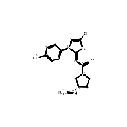 Cc1cn(-c2ccc(C(F)(F)F)cc2)c(=NC(=O)N2CC[C@H](NC(=O)O)C2)s1